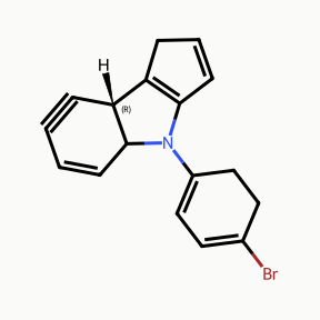 BrC1=CC=C(N2C3=C(CC=C3)[C@H]3C#CC=CC32)CC1